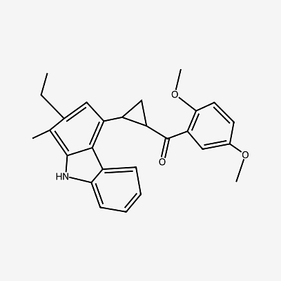 CCc1cc(C2CC2C(=O)c2cc(OC)ccc2OC)c2c([nH]c3ccccc32)c1C